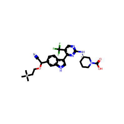 C[Si](C)(C)CCOC(C#N)c1ccc2c(-c3nc(N[C@H]4CCCN(C(=O)O)C4)ncc3C(F)(F)F)c[nH]c2c1